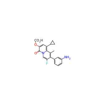 Cc1c(-c2cccc(N)c2)c(F)cn2c(=O)c(OC(=O)O)cc(C3CC3)c12